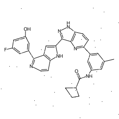 Cc1cc(NC(=O)C2CCC2)cc(-c2ccc3[nH]nc(-c4cc5c(-c6cc(O)cc(F)c6)nccc5[nH]4)c3n2)c1